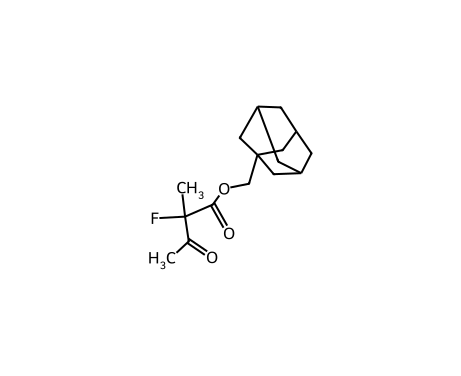 CC(=O)C(C)(F)C(=O)OCC12CC3CC(CC(C3)C1)C2